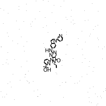 C=CCn1c(=O)c2cnc(Nc3ccc4c(ccn4-c4cccnc4)c3)nc2n1-c1cccc(C(C)(C)O)n1